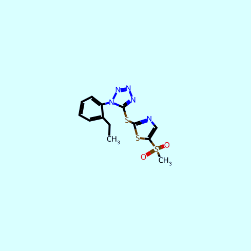 CCc1ccccc1-n1nnnc1Sc1ncc(S(C)(=O)=O)s1